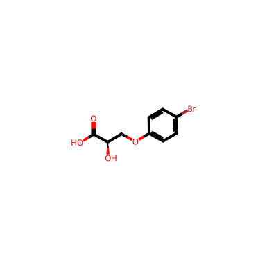 O=C(O)[C@H](O)COc1ccc(Br)cc1